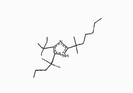 CCCCCC(C)(C)c1nc(C(C)(C)C)c(C(C)(C)CCC)[nH]1